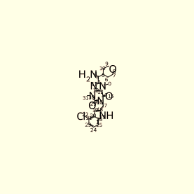 Cn1c(C(N)C2CCOCC2)nc2c1c(=O)n(Cc1cc3c(Cl)cccc3[nH]1)c(=O)n2C